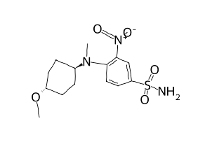 CO[C@H]1CC[C@H](N(C)c2ccc(S(N)(=O)=O)cc2[N+](=O)[O-])CC1